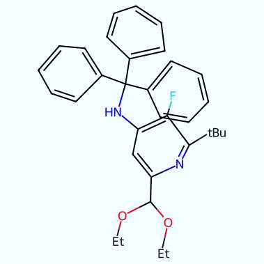 CCOC(OCC)c1cc(NC(c2ccccc2)(c2ccccc2)c2ccccc2)c(F)c(C(C)(C)C)n1